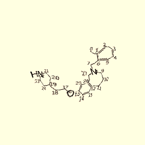 Cc1ccccc1CN1CCCc2ccc(OCCC3CCNCC3)cc2C1